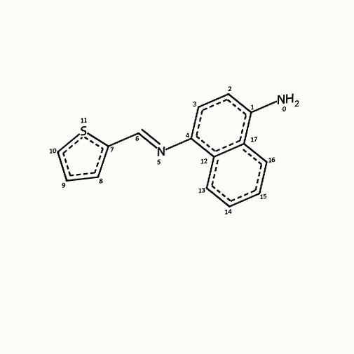 Nc1ccc(/N=C/c2cccs2)c2ccccc12